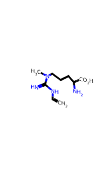 C=CNC(=N)N(C)CCCC(N)C(=O)O